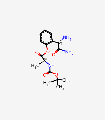 C[C@H](NC(=O)OC(C)(C)C)C(=O)Oc1ccccc1[C@H](N)C(N)=O